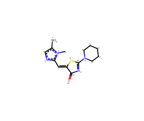 Cn1c([N+](=O)[O-])cnc1/C=C1\SC(N2CCCCC2)=NC1=O